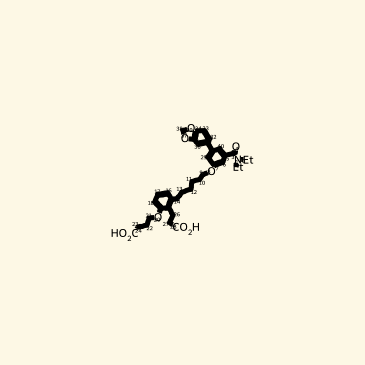 CCN(CC)C(=O)c1cc(OCCCCCCc2cccc(OCCCC(=O)O)c2CCC(=O)O)cc(-c2ccc3c(c2)OCO3)c1